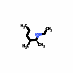 CCC[C@H](C)[C@@H](C)NCC